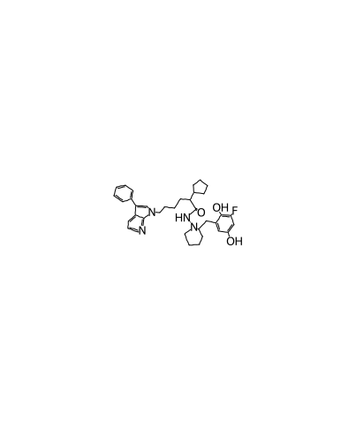 O=C(NN1CCCCC1Cc1cc(O)cc(F)c1O)C(CCCCn1cc(-c2ccccc2)c2cccnc21)C1CCCC1